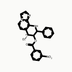 CC[C@@H]1c2ccn3ccnc3c2NC(c2ccccc2)C1OC(=O)c1cccc([N+](=O)[O-])c1